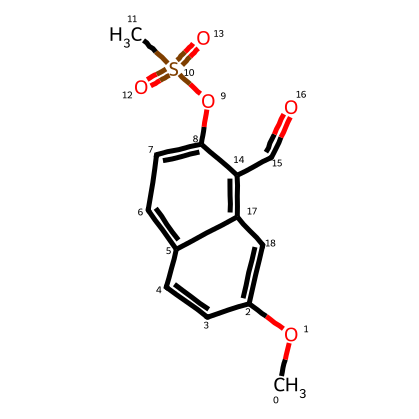 COc1ccc2ccc(OS(C)(=O)=O)c(C=O)c2c1